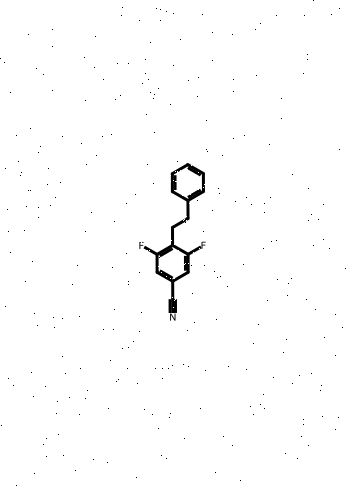 N#Cc1cc(F)c(CCc2ccccc2)c(F)c1